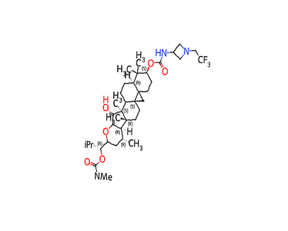 CNC(=O)O[C@H](C(C)C)C1C[C@@H](C)[C@H]2C(O1)[C@H](O)[C@@]1(C)C3CC[C@H]4C(C)(C)[C@@H](OC(=O)NC5CN(CC(F)(F)F)C5)CCC45C[C@@]35CC[C@]21C